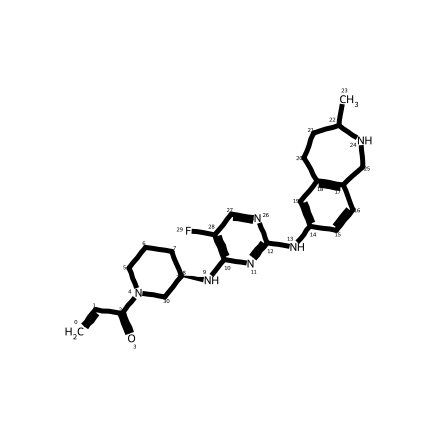 C=CC(=O)N1CCC[C@@H](Nc2nc(Nc3ccc4c(c3)CCC(C)NC4)ncc2F)C1